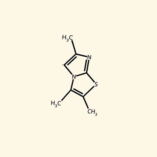 Cc1[c]n2c(C)c(C)sc2n1